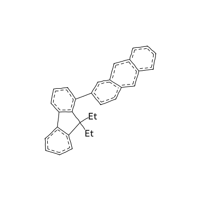 CCC1(CC)c2ccccc2-c2cccc(-c3ccc4cc5ccccc5cc4c3)c21